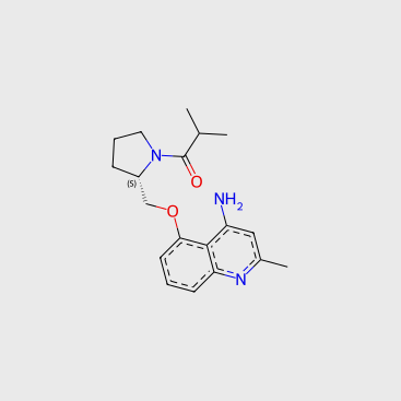 Cc1cc(N)c2c(OC[C@@H]3CCCN3C(=O)C(C)C)cccc2n1